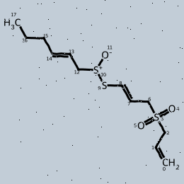 C=CCS(=O)(=O)CC=CS[S+]([O-])CC=CCCC